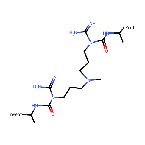 CCCCCC(C)NC(=O)N(CCCN(C)CCCN(C(=N)N)C(=O)NC(C)CCCCC)C(=N)N